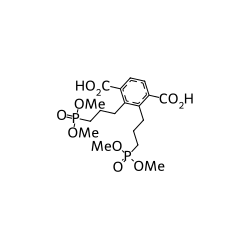 COP(=O)(CCCc1c(C(=O)O)ccc(C(=O)O)c1CCCP(=O)(OC)OC)OC